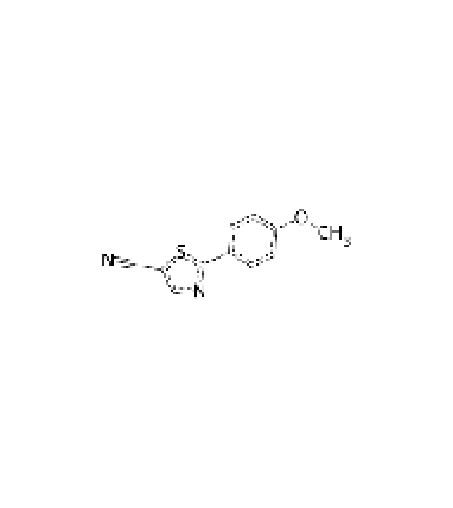 COc1ccc(-c2ncc(C#N)s2)cc1